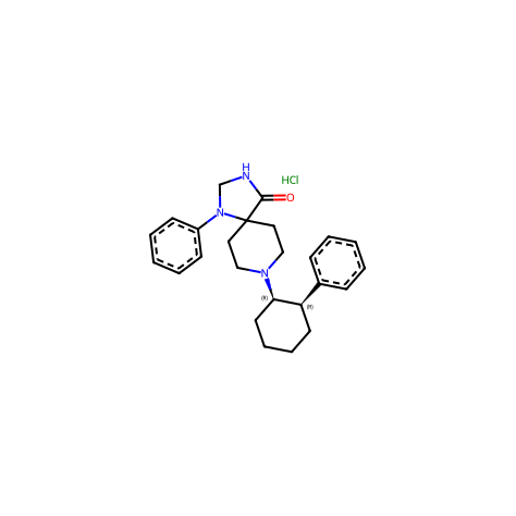 Cl.O=C1NCN(c2ccccc2)C12CCN([C@@H]1CCCC[C@@H]1c1ccccc1)CC2